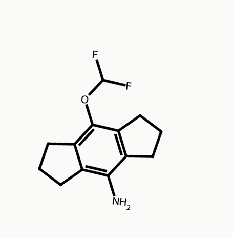 Nc1c2c(c(OC(F)F)c3c1CCC3)CCC2